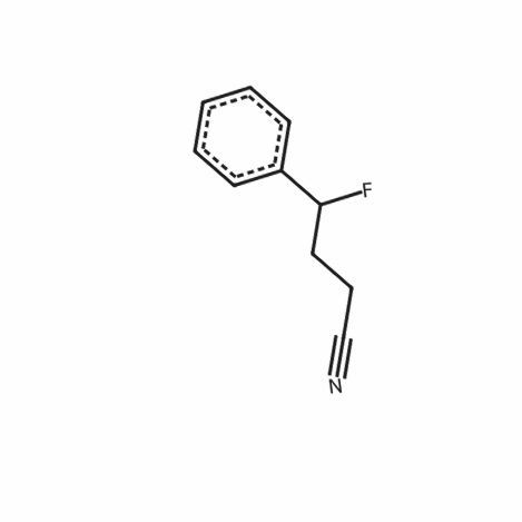 N#CCCC(F)c1ccccc1